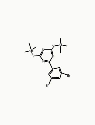 C[Si](C)(C)Sc1nc(S[Si](C)(C)C)nc(-c2cc(Br)cc(Br)c2)n1